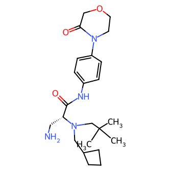 CC(C)(C)CN(CC1CCC1)[C@H](CN)C(=O)Nc1ccc(N2CCOCC2=O)cc1